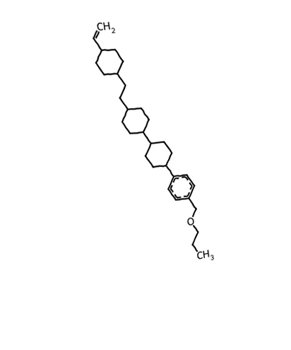 C=CC1CCC(CCC2CCC(C3CCC(c4ccc(COCCC)cc4)CC3)CC2)CC1